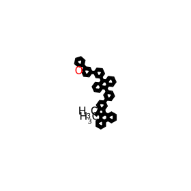 CC1(C)c2ccc(-c3cccc(-c4c5ccccc5c(-c5cccc(-c6ccc7oc8ccccc8c7c6)c5)c5ccccc45)c3)cc2-c2c1c1ccccc1c1ccccc21